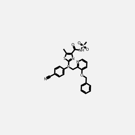 Cc1sc(N(Cc2ncccc2OCc2ccccc2)c2ccc(C#N)cc2)nc1C(=O)NS(C)(=O)=O